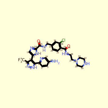 Nc1ccc(-c2[nH]nc(C(F)(F)F)c2-c2cnc(C(=O)NCc3ccc(C(=O)NCCN4CCNCC4)c(Cl)c3)[nH]2)nc1